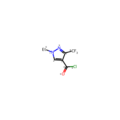 CCn1cc(C(=O)Cl)c(C(F)(F)F)n1